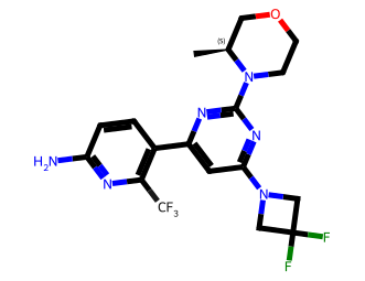 C[C@H]1COCCN1c1nc(-c2ccc(N)nc2C(F)(F)F)cc(N2CC(F)(F)C2)n1